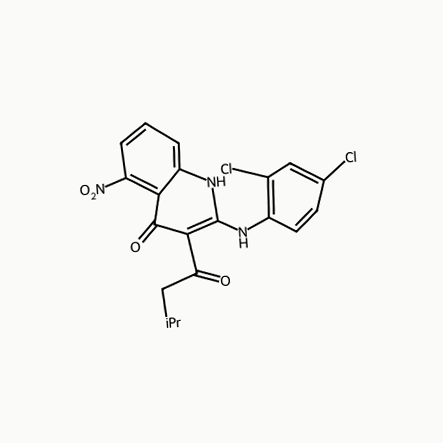 CC(C)CC(=O)c1c(Nc2ccc(Cl)cc2Cl)[nH]c2cccc([N+](=O)[O-])c2c1=O